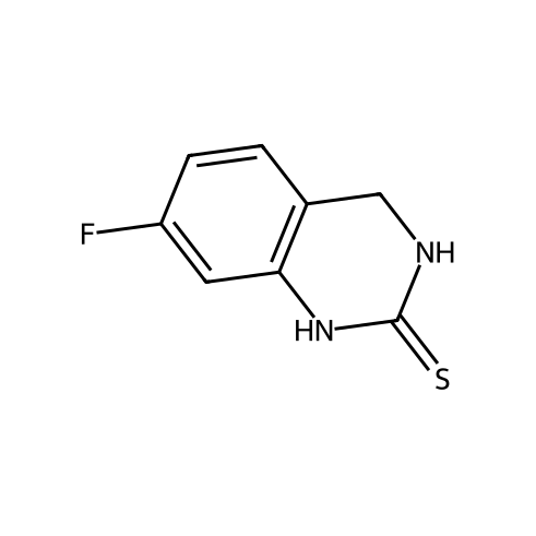 Fc1ccc2c(c1)NC(=S)NC2